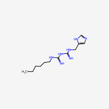 CCCCCCNC(=N)NC(=N)NCc1cnc[nH]1